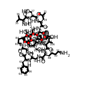 CC(C)C[C@H](NC(=O)[C@H](CS)NC(=O)[C@@H](NC(=O)[C@H](CC(C)C)NC(=O)[C@H](CO)NC(=O)[C@@H](N)C(C)C)[C@@H](C)O)C(=O)N[C@H](C(=O)N[C@@H](CCCCN)C(=O)NCC(=O)N[C@@H](Cc1ccccc1)C(=O)N[C@@H](Cc1ccc(O)cc1)C(=O)N1CCC[C@H]1C(=O)N[C@@H](CO)C(=O)N[C@@H](CC(=O)O)C(=O)O)C(C)C